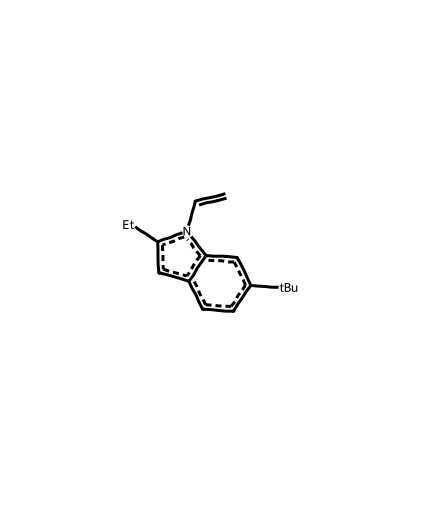 C=Cn1c(CC)cc2ccc(C(C)(C)C)cc21